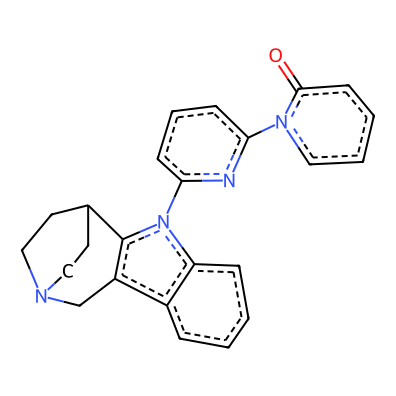 O=c1ccccn1-c1cccc(-n2c3c(c4ccccc42)CN2CCC3CC2)n1